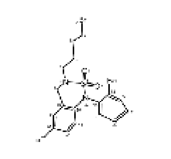 O=S1(=O)N(CCCCBr)Cc2cc(F)ccc2N1c1ccccc1F